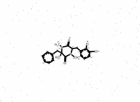 CN1C(=O)C(C)(Cc2ccccc2)N(C)C(=O)C1Cc1cccc(Cl)c1Cl